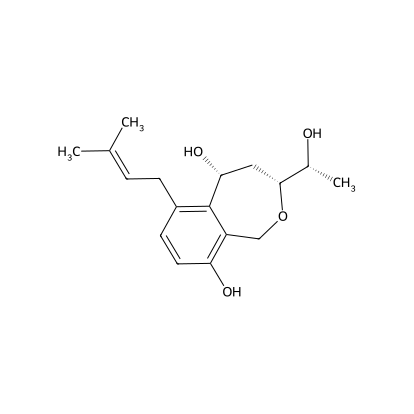 CC(C)=CCc1ccc(O)c2c1[C@H](O)C[C@H]([C@@H](C)O)OC2